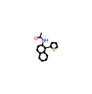 CC(=O)Nc1ccc2ccccc2c1-c1cccs1